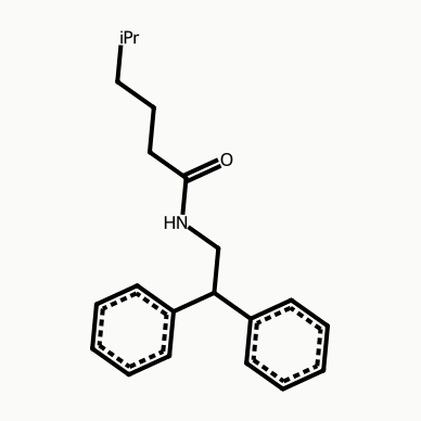 CC(C)CCCC(=O)NCC(c1ccccc1)c1ccccc1